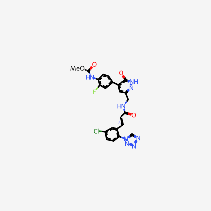 COC(=O)Nc1ccc(-c2cc(CNC(=O)/C=C/c3cc(Cl)ccc3-n3cnnn3)n[nH]c2=O)cc1F